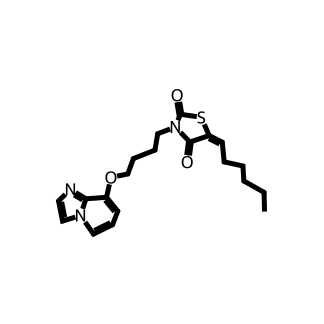 CCCCC/C=C1/SC(=O)N(CCCCOc2cccn3ccnc23)C1=O